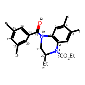 CCOC(=O)N1c2cc(C)c(C)cc2N(C(=O)c2cc(C)cc(C)c2)CC1CC